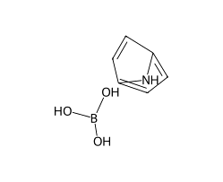 OB(O)O.c1cc2ccc1[nH]2